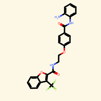 Nc1ccccc1NC(=O)c1ccc(OCCNC(=O)c2oc3ccccc3c2C(F)(F)F)cc1